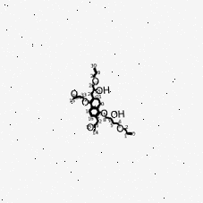 C=CCOCCC(O)COc1c(CC2CO2)ccc2c1CCC(CC(O)COCC=C)=C2OCC1CO1